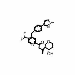 C=C(CC(=O)c1cc(Cc2ccc(-c3ccn(C)n3)cc2)c(C(F)F)cn1)C1COCC[C@@H]1O